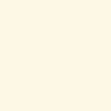 CS(=O)(=O)c1cc[c]c(S(=O)(=O)O)c1